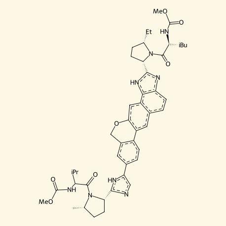 CC[C@H]1CC[C@@H](c2nc3ccc4cc5c(cc4c3[nH]2)OCc2cc(-c3cnc([C@@H]4CC[C@H](C)N4C(=O)C(NC(=O)OC)C(C)C)[nH]3)ccc2-5)N1C(=O)[C@@H](NC(=O)OC)[C@@H](C)CC